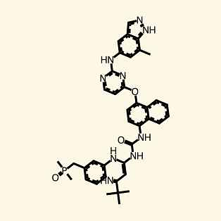 Cc1cc(Nc2nccc(Oc3ccc(NC(=O)N/C(=C/C(=N)C(C)(C)C)Nc4cccc(CP(C)(C)=O)c4)c4ccccc34)n2)cc2cn[nH]c12